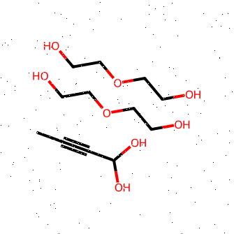 CC#CC(O)O.OCCOCCO.OCCOCCO